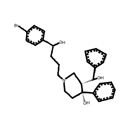 OC(CCCN1CC[C@](O)(c2ccccc2)[C@@H](C(O)c2ccccc2)C1)c1ccc(Br)cc1